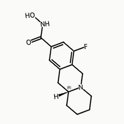 O=C(NO)c1cc(F)c2c(c1)C[C@H]1CCCCN1C2